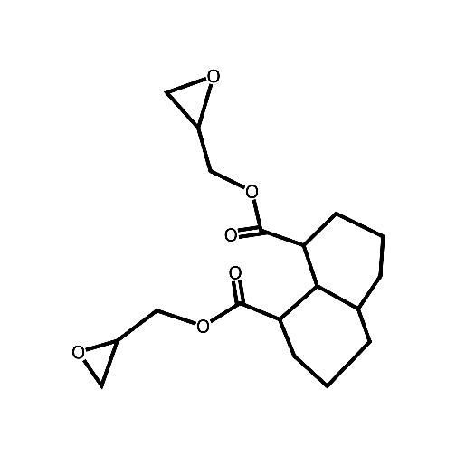 O=C(OCC1CO1)C1CCCC2CCCC(C(=O)OCC3CO3)C21